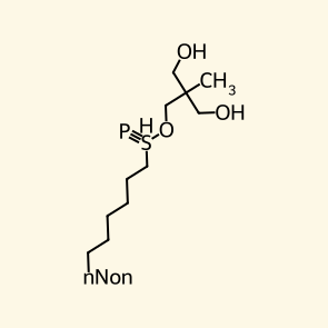 CCCCCCCCCCCCCCC[SH](#P)OCC(C)(CO)CO